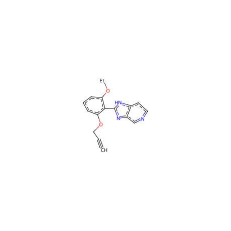 C#CCOc1cccc(OCC)c1-c1nc2cnccc2[nH]1